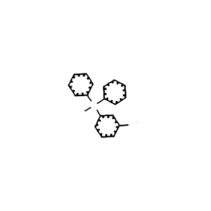 FC(F)(F)c1cccc(S(I)(c2ccccc2)c2ccccc2)c1